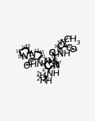 [2H]C([2H])([2H])Nc1cc(NC2=CC=CN(c3ccccn3)C2=C=O)nn2c(C(=O)N[C@@H]3CCN(C)C3=C=O)cnc12